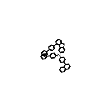 c1ccc(-c2ccc(-c3cccc4sc5ccc(N(c6ccc(-c7ccccc7)cc6)c6ccc(-c7cccc8ccccc78)cc6)cc5c34)cc2)cc1